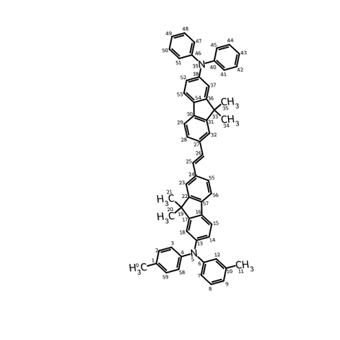 Cc1ccc(N(c2cccc(C)c2)c2ccc3c(c2)C(C)(C)c2cc(/C=C/c4ccc5c(c4)C(C)(C)c4cc(N(c6ccccc6)c6ccccc6)ccc4-5)ccc2-3)cc1